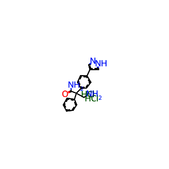 Cl.Cl.NCC(C(N)=O)(c1ccccc1)c1ccc(-c2cn[nH]c2)cc1